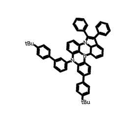 CC(C)(C)c1ccc(-c2cccc(N3c4cc(-c5ccc(C(C)(C)C)cc5)ccc4B4c5c3cccc5N3C(c5ccccc5)=C(c5ccccc5)C5=CC=CC4C53)c2)cc1